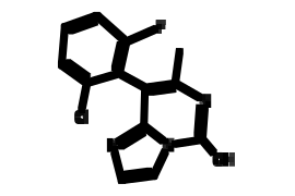 Cc1nc(O)n2ccnc2c1-c1c(F)cccc1Cl